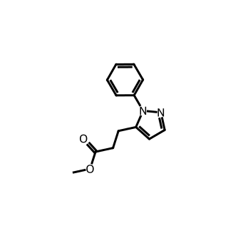 COC(=O)CCc1ccnn1-c1ccccc1